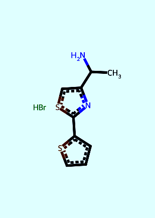 Br.CC(N)c1csc(-c2cccs2)n1